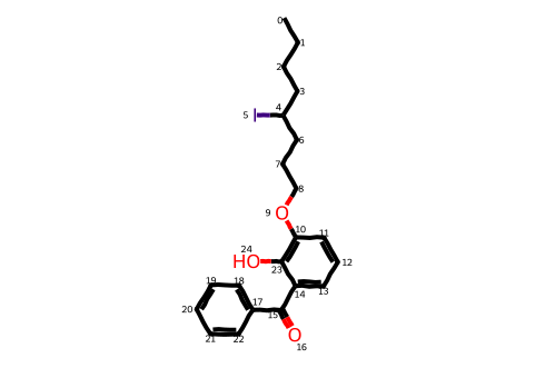 CCCCC(I)CCCOc1cccc(C(=O)c2ccccc2)c1O